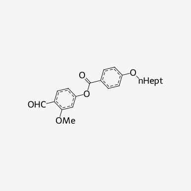 CCCCCCCOc1ccc(C(=O)Oc2ccc(C=O)c(OC)c2)cc1